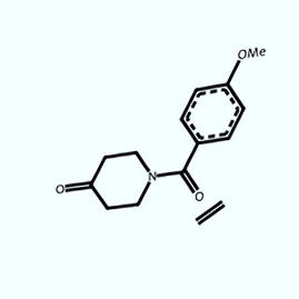 C=C.COc1ccc(C(=O)N2CCC(=O)CC2)cc1